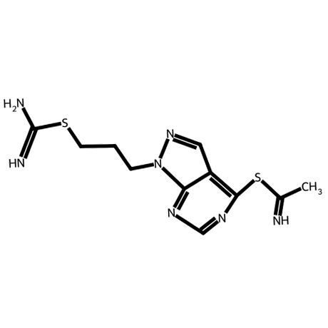 CC(=N)Sc1ncnc2c1cnn2CCCSC(=N)N